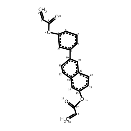 C=CC(=O)Oc1cccc(-c2ccc3cc(OC(=O)C=C)ccc3c2)c1